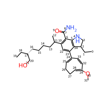 CCC1CNc2c(C(N)=O)c(C(C)CCCC[C@@H](CC)CO)cc(C3=C/CC/C=C(OC)/C=C\3)c21